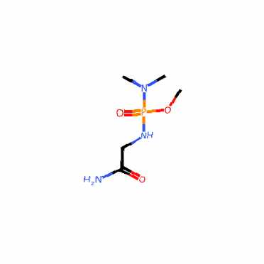 COP(=O)(NCC(N)=O)N(C)C